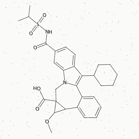 COC1C2c3ccccc3-c3c(C4CCCCC4)c4ccc(C(=O)NS(=O)(=O)C(C)C)cc4n3CC12C(=O)O